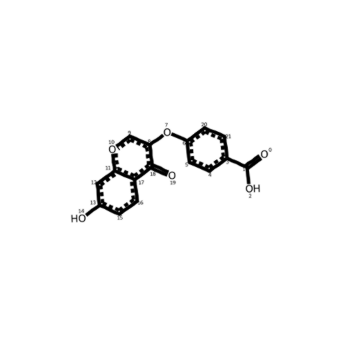 O=C(O)c1ccc(Oc2coc3cc(O)ccc3c2=O)cc1